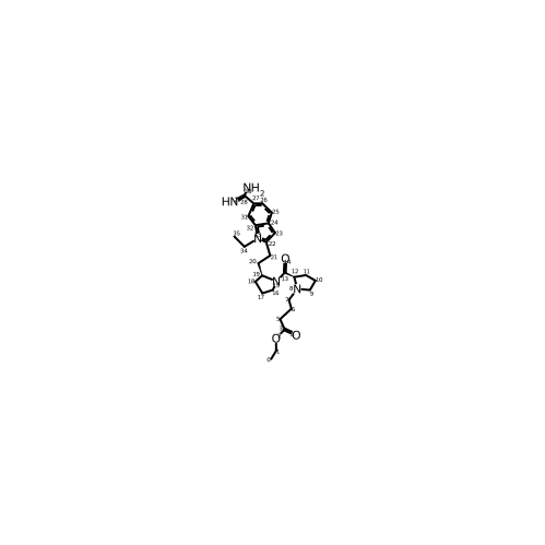 CCOC(=O)CCCN1CCC[C@@H]1C(=O)N1CCC[C@H]1CCc1cc2ccc(C(=N)N)cc2n1CC